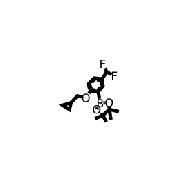 CC1(C)OB(c2cc(C(F)F)ccc2OCC2CC2)OC1(C)C